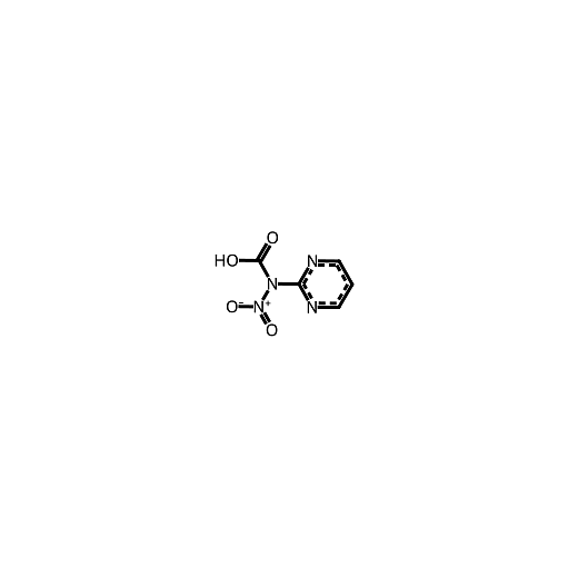 O=C(O)N(c1ncccn1)[N+](=O)[O-]